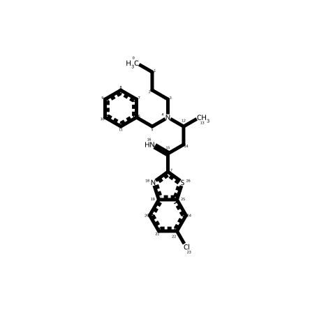 CCCCN(Cc1c[c]ccc1)C(C)CC(=N)c1nc2ccc(Cl)cc2s1